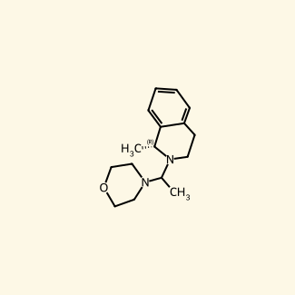 CC(N1CCOCC1)N1CCc2ccccc2[C@H]1C